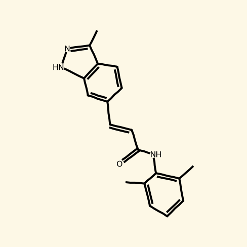 Cc1cccc(C)c1NC(=O)/C=C/c1ccc2c(C)n[nH]c2c1